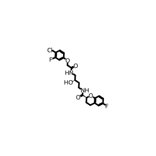 O=C(COc1ccc(Cl)c(F)c1)NC[C@@H](O)CCNC(=O)[C@@H]1CCc2cc(F)ccc2O1